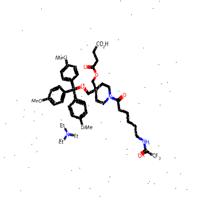 CCN(CC)CC.COc1ccc(C(OCC2(COC(=O)CCC(=O)O)CCN(C(=O)CCCCCNC(=O)C(F)(F)F)CC2)(c2ccc(OC)cc2)c2ccc(OC)cc2)cc1